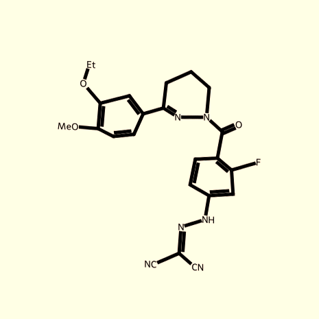 CCOc1cc(C2=NN(C(=O)c3ccc(NN=C(C#N)C#N)cc3F)CCC2)ccc1OC